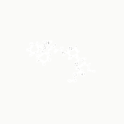 CCCc1sc(-c2ccnc(OCCCC(C)(C)[Si](O)(c3ccccc3)c3ccccc3)c2)nc1C(=O)OCC